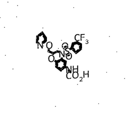 O=C(O)Nc1ccc2c(c1)N(S(=O)(=O)c1cccc(C(F)(F)F)c1)CC(COc1ccccn1)O2